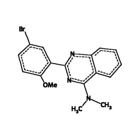 COc1ccc(Br)cc1-c1nc(N(C)C)c2ccccc2n1